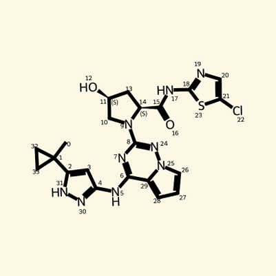 CC1(c2cc(Nc3nc(N4C[C@@H](O)C[C@H]4C(=O)Nc4ncc(Cl)s4)nn4cccc34)n[nH]2)CC1